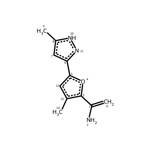 C=C(N)c1oc(-c2cc(C)[nH]n2)cc1C